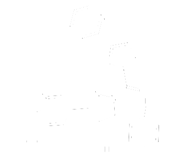 O=C(O)c1cncc(C2=NN(C(=O)c3ccc(-c4ccccn4)s3)C(c3c(O)cccc3F)C2)c1